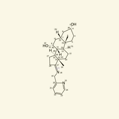 C[C@]12CC[C@@H](O)C[C@H]1C[C@@H](O)[C@@H]1[C@@H]2CC[C@]2(C)/C(=N/Cc3ccccn3)CC[C@@H]12